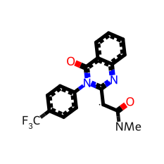 CNC(=O)[CH]c1nc2ccccc2c(=O)n1-c1ccc(C(F)(F)F)cc1